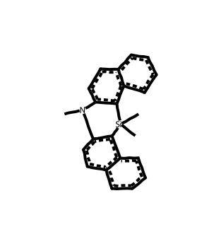 CN1c2ccc3ccccc3c2[Si](C)(C)c2c1ccc1ccccc21